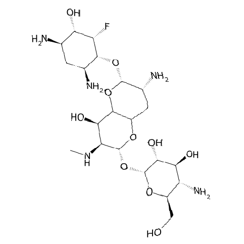 CN[C@@H]1[C@@H](O[C@H]2O[C@H](CO)[C@@H](N)[C@H](O)[C@H]2O)OC2C[C@@H](N)[C@@H](O[C@H]3[C@@H](F)[C@@H](O)[C@H](N)C[C@@H]3N)OC2[C@@H]1O